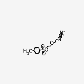 Cc1ccc(S(=O)(=O)OCCOCCN=[N+]=[N-])cc1